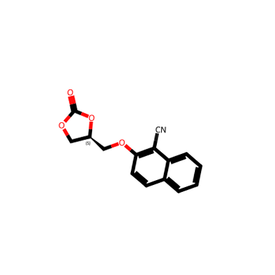 N#Cc1c(OC[C@H]2COC(=O)O2)ccc2ccccc12